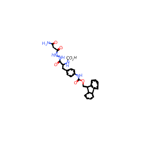 NC(=O)CC(=O)NNC(=O)C(Cc1ccc(NC(=O)OCC2c3ccccc3-c3ccccc32)cc1)NC(=O)O